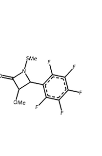 COC1C(=O)N(SC)C1c1c(F)c(F)c(F)c(F)c1F